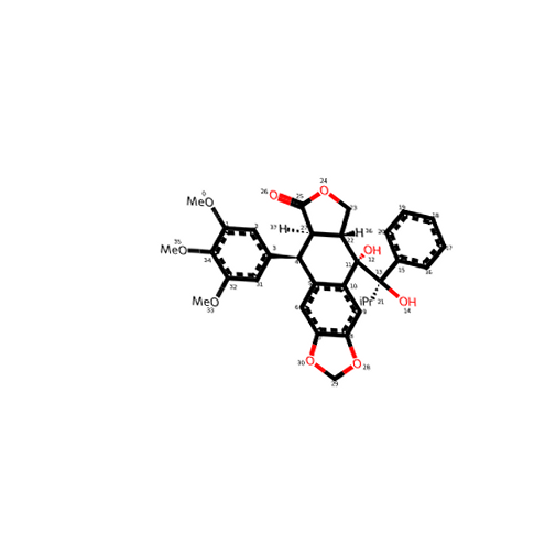 COc1cc([C@@H]2c3cc4c(cc3[C@](O)([C@](O)(c3ccccc3)C(C)C)[C@H]3COC(=O)[C@H]23)OCO4)cc(OC)c1OC